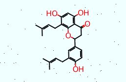 CC(C)=CCc1cc(C2CC(=O)c3c(O)cc(O)c(CC=C(C)C)c3O2)ccc1O